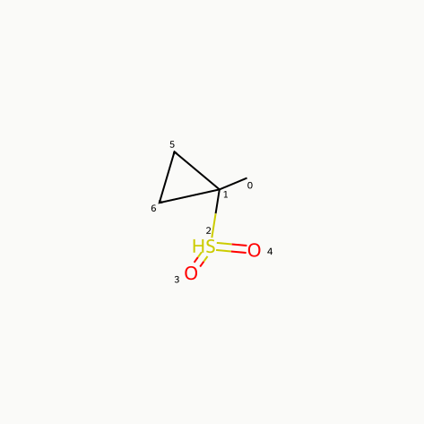 CC1([SH](=O)=O)CC1